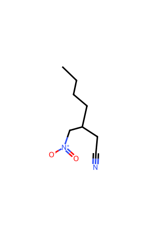 CCCCC(CC#N)C[N+](=O)[O-]